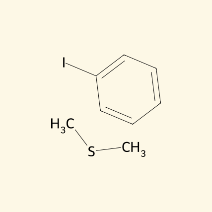 CSC.Ic1ccccc1